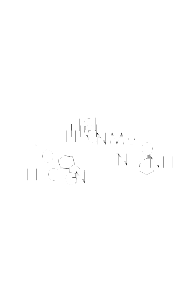 CNC.Cc1c(OCC2CC2)ccc2c(CCC3CCN(Cc4ccc[nH]c4=O)CC3)noc12.Cl.Cl